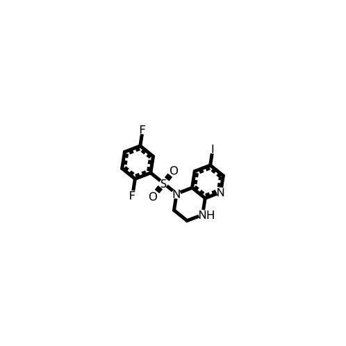 O=S(=O)(c1cc(F)ccc1F)N1CCNc2ncc(I)cc21